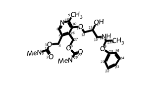 CNC(=O)OCc1cnc(C)c(OCC(O)CNC(C)Oc2ccccc2)c1COC(=O)NC